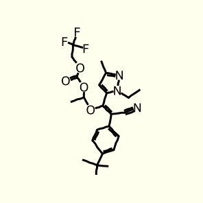 CCn1nc(C)cc1/C(OC(C)OC(=O)OCC(F)(F)F)=C(\C#N)c1ccc(C(C)(C)C)cc1